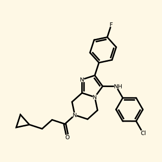 O=C(CCC1CC1)N1CCn2c(nc(-c3ccc(F)cc3)c2Nc2ccc(Cl)cc2)C1